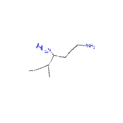 C[C](C)C(N)CCN